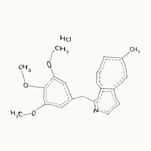 COc1cc(-c2nccc3cc(C)ccc23)cc(OC)c1OC.Cl